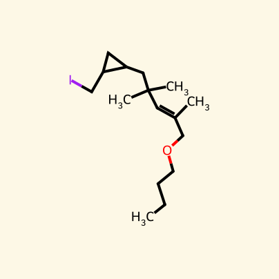 CCCCOC/C(C)=C/C(C)(C)CC1CC1CI